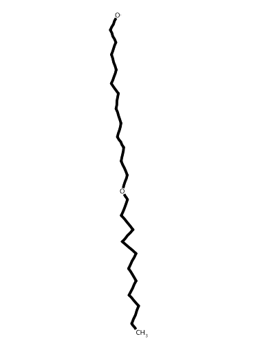 CCCCCCCCCCCOCCCCCCCCCCCC[O]